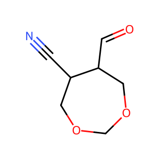 N#CC1COCOCC1C=O